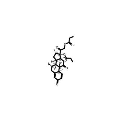 CCC(=O)OCC(=O)[C@]1(OC(=O)CC)[C@@H](C)C[C@H]2[C@@H]3[C@H](I)CC4=CC(=O)C=C[C@]4(C)[C@@]3(Br)C(=O)C[C@@]21C